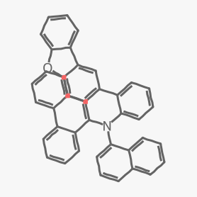 c1ccc(N(c2cccc3ccccc23)c2cc3ccccc3c3ccccc23)c(-c2ccc3oc4ccccc4c3c2)c1